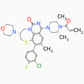 C=CC(=O)N1[C@H](C)CN(c2nc(=O)n3c4c(c(-c5ccc(F)c(Cl)c5)c(C)cc24)SC[C@H](N2CCOCC2)C3)C[C@@H]1C